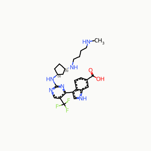 CNCCCCN[C@H]1CC[C@H](Nc2ncc(C(F)(F)F)c(-c3c[nH]c4cc(C(=O)O)ccc34)n2)C1